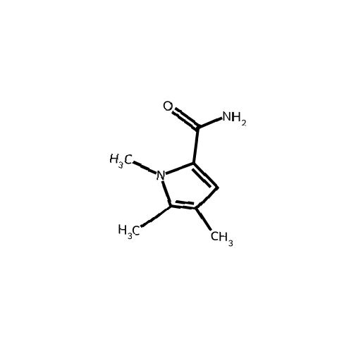 Cc1cc(C(N)=O)n(C)c1C